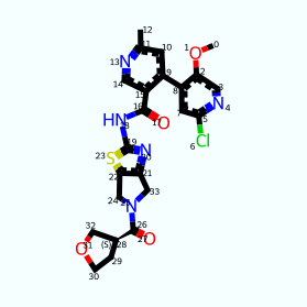 COc1cnc(Cl)cc1-c1cc(C)ncc1C(=O)Nc1nc2c(s1)CN(C(=O)[C@H]1CCOC1)C2